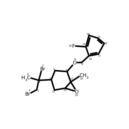 CC(Br)(CBr)C1CC(OCc2ccccc2F)C2(C)OC2C1